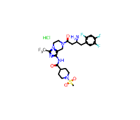 CS(=O)(=O)N1CCC(C(=O)Nc2nc(C(F)(F)F)n3c2CN(C(=O)CC(N)Cc2cc(F)c(F)cc2F)CC3)CC1.Cl